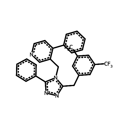 FC(F)(F)c1cc(Cc2nnc(-c3ccccc3)n2Cc2cnccc2-c2ccccc2)cc(C(F)(F)F)c1